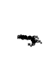 COC(=O)C(Cc1cc(OC)cc(OC)c1)c1cccc(Oc2ccc(/C=C3/SC(=O)NC3=O)cc2)c1